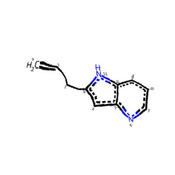 C=CCc1cc2ncccc2[nH]1